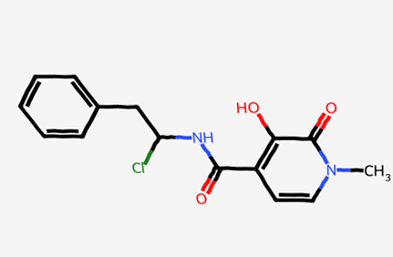 Cn1ccc(C(=O)NC(Cl)Cc2ccccc2)c(O)c1=O